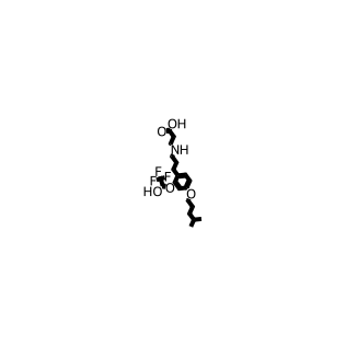 CC(C)CCCOc1ccc(CCCNCCC(=O)O)cc1.O=C(O)C(F)(F)F